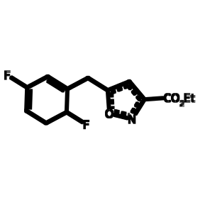 CCOC(=O)c1cc(CC2=CC(F)=CCC2F)on1